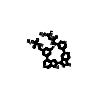 CN(C)CC(=O)Nc1cncc(-c2cc3c(-c4cc5c(-c6cc(F)cc(CNS(C)(=O)=O)c6)cncc5[nH]4)n[nH]c3cn2)c1